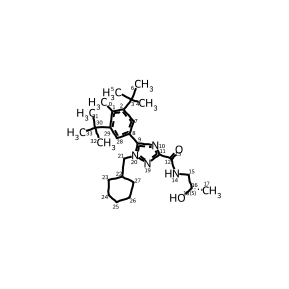 Cc1c(C(C)(C)C)cc(-c2nc(C(=O)NC[C@H](C)O)nn2CC2CCCCC2)cc1C(C)(C)C